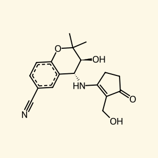 CC1(C)Oc2ccc(C#N)cc2[C@@H](NC2=C(CO)C(=O)CC2)[C@@H]1O